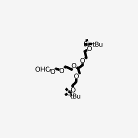 CC(C)(C)[Si](C)(C)OCCOCC(COCCO[Si](C)(C)C(C)(C)C)OCCOCOC=O